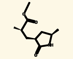 COC(=O)[C@@H](C)C[C@H]1C[C@@H](C)NC1=O